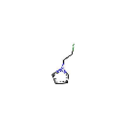 ClCCn1cccc1